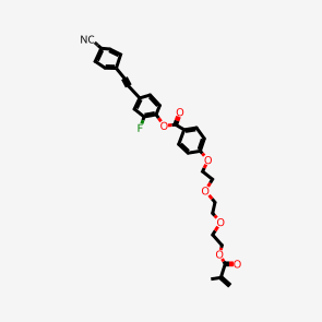 C=C(C)C(=O)OCCOCCOCCOc1ccc(C(=O)Oc2ccc(C#Cc3ccc(C#N)cc3)cc2F)cc1